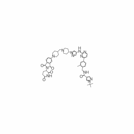 Cc1cc(-c2ccnc(Nc3cnn(C4CCN(CC5CCN(c6ccc7c(c6)C(=O)N(C6CCC(=O)NC6=O)C7=O)CC5)CC4)c3)n2)ccc1CNC(=O)c1cnn(C(C)(C)C)c1